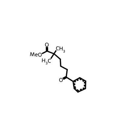 COC(=O)C(C)(C)CCCC(=O)c1ccccc1